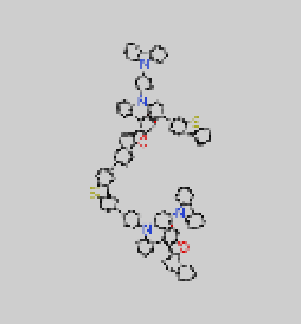 c1ccc(N(c2ccc(-c3ccc4sc5ccc(-c6ccc7c(ccc8c7oc7cccc(-c9ccccc9N(c9ccc(-c%10ccc%11c(c%10)sc%10ccccc%10%11)cc9)c9ccc(-n%10c%11ccccc%11c%11ccccc%11%10)cc9)c78)c6)cc5c4c3)cc2)c2ccc(-n3c4ccccc4c4ccccc43)cc2)c(-c2cccc3oc4c5ccccc5ccc4c23)c1